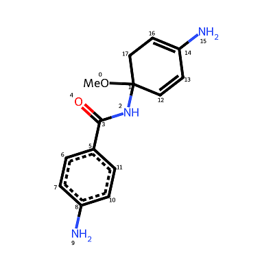 COC1(NC(=O)c2ccc(N)cc2)C=CC(N)=CC1